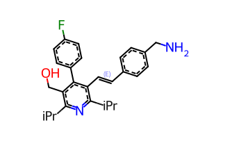 CC(C)c1nc(C(C)C)c(CO)c(-c2ccc(F)cc2)c1/C=C/c1ccc(CN)cc1